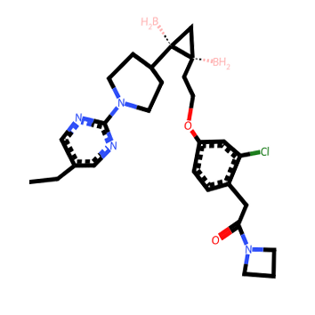 B[C@@]1(CCOc2ccc(CC(=O)N3CCC3)c(Cl)c2)C[C@]1(B)C1CCN(c2ncc(CC)cn2)CC1